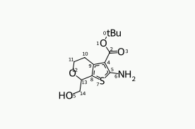 CC(C)(C)OC(=O)c1c(N)sc2c1CCOC2CO